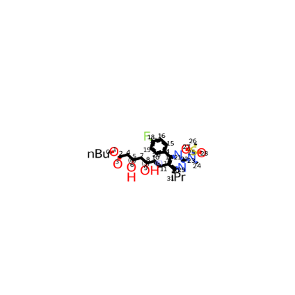 CCCCOC(=O)C[C@H](O)C[C@H](O)/C=C/c1c(-c2ccc(F)cc2)nc(N(C)S(C)(=O)=O)nc1C(C)C